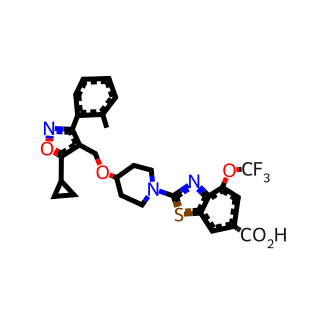 Cc1ccccc1-c1noc(C2CC2)c1COC1CCN(c2nc3c(OC(F)(F)F)cc(C(=O)O)cc3s2)CC1